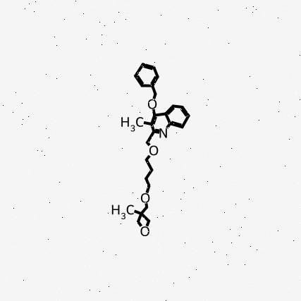 Cc1c(COCCCCOCC2(C)COC2)nc2ccccc2c1OCc1ccccc1